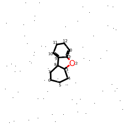 C1=C2OC3CCCCC3C2=CCC1